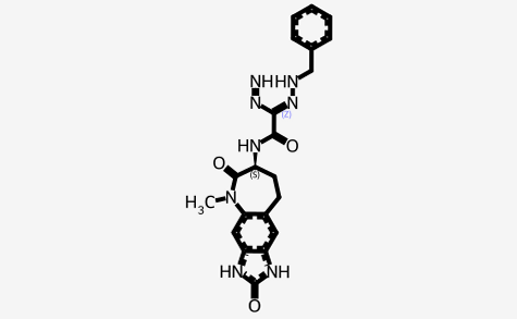 CN1C(=O)[C@@H](NC(=O)/C(N=N)=N/NCc2ccccc2)CCc2cc3[nH]c(=O)[nH]c3cc21